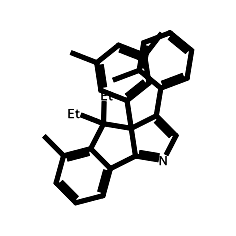 CCC1(CC)c2c(C)cccc2C2=NC=C(c3ccccc3C)C21c1cc(C)cc(C)c1